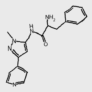 Cn1nc(-c2ccncc2)cc1NC(=O)C(N)Cc1ccccc1